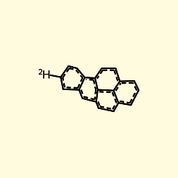 [2H]c1ccc2c(c1)cc1ccc3cccc4ccc2c1c34